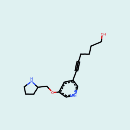 OCCCCC#Cc1cncc(OCC2CCCN2)c1